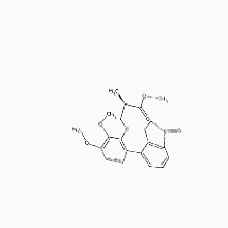 COC(=O)[C@H](C)COc1c(-c2cccc3c2CCC3=O)ccc(OC)c1OC